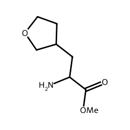 COC(=O)C(N)CC1CCOC1